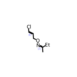 CC/C(C)=N\OC/C=C/Cl